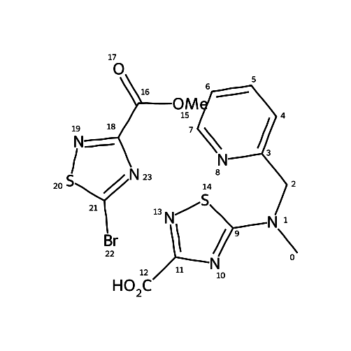 CN(Cc1ccccn1)c1nc(C(=O)O)ns1.COC(=O)c1nsc(Br)n1